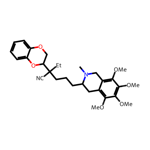 CCC(C#N)(CCCC1Cc2c(c(OC)c(OC)c(OC)c2OC)CN1C)C1COc2ccccc2O1